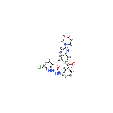 O=C(Nc1cccc(Cl)c1)Nc1cccc(C(=O)c2ccc3ncc(N4CCOCC4)nc3c2)c1